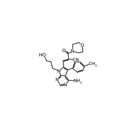 Cc1ccc(-c2c(C=C(C#N)C(=O)N3CCOCC3)n(CCCO)c3ncnc(N)c23)cc1